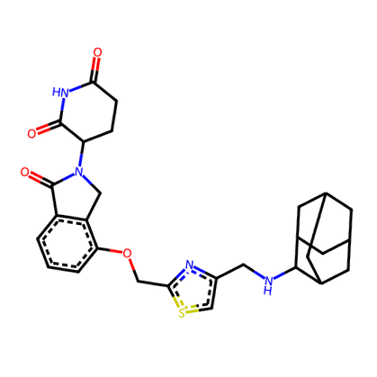 O=C1CCC(N2Cc3c(OCc4nc(CNC5C6CC7CC(C6)CC5C7)cs4)cccc3C2=O)C(=O)N1